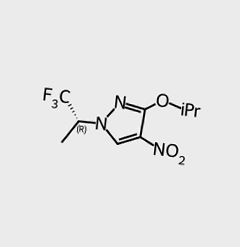 CC(C)Oc1nn([C@H](C)C(F)(F)F)cc1[N+](=O)[O-]